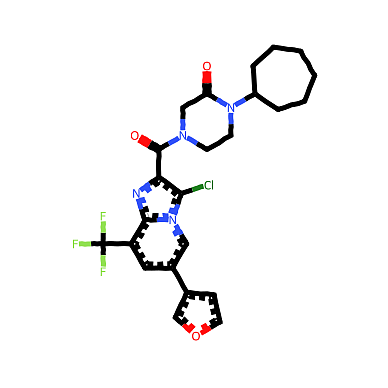 O=C(c1nc2c(C(F)(F)F)cc(-c3ccoc3)cn2c1Cl)N1CCN(C2CCCCCC2)C(=O)C1